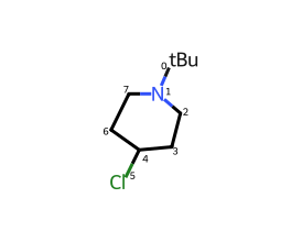 CC(C)(C)N1CCC(Cl)CC1